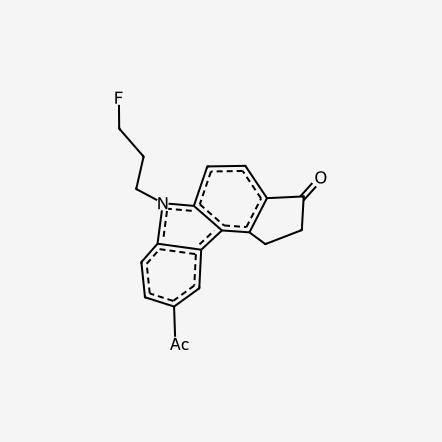 CC(=O)c1ccc2c(c1)c1c3c(ccc1n2CCCF)C(=O)CC3